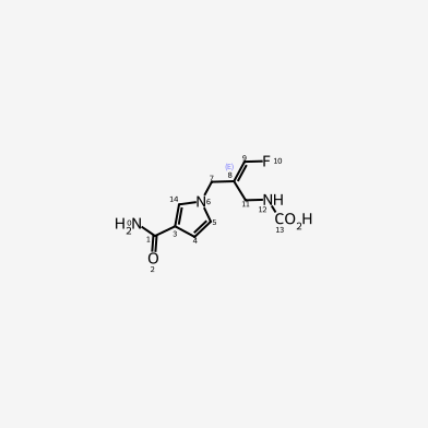 NC(=O)c1ccn(C/C(=C/F)CNC(=O)O)c1